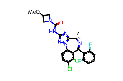 COC1CN(C(=O)Nc2nc3n(n2)-c2ccc(Cl)c(Cl)c2C(c2c(F)cccc2F)=N[C@H]3C)C1